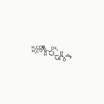 Cc1cc(-c2ccnc(NC(=O)[C@@H]3C[C@@H]3F)c2)ccc1CNC(=O)OC(C)(C)C